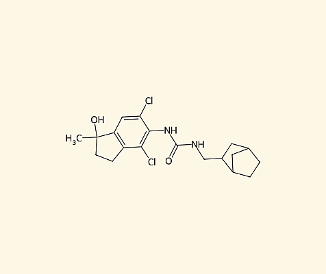 CC1(O)CCc2c1cc(Cl)c(NC(=O)NCC1CC3CCC1C3)c2Cl